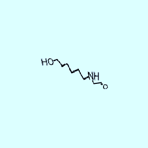 O=CCNCCCCCCO